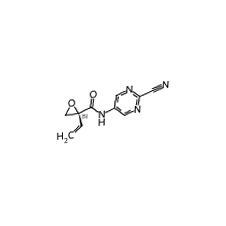 C=C[C@@]1(C(=O)Nc2cnc(C#N)nc2)CO1